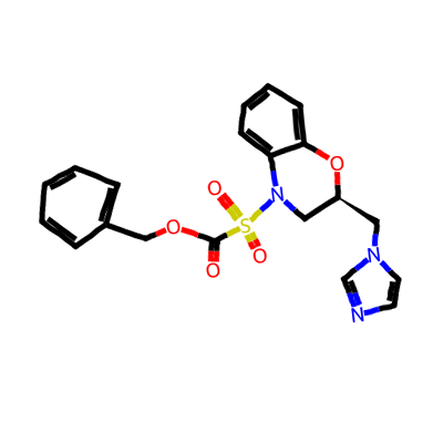 O=C(OCc1ccccc1)S(=O)(=O)N1C[C@H](Cn2ccnc2)Oc2ccccc21